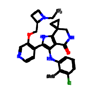 COc1c(Cl)cccc1Nc1c(-c2ccncc2OCC2CCN2CC(F)(F)F)[nH]c2c1C(=O)NCC21CC1